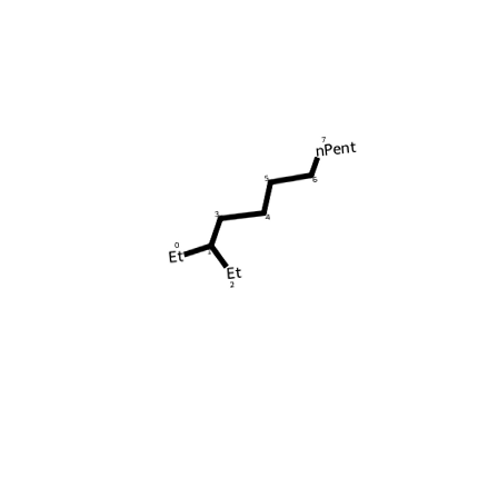 [CH2]CC(CC)CCCCCCCCC